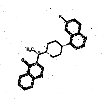 C[C@H]([C@H]1CC[C@@H](c2ccnc3ccc(F)cc32)CC1)n1cnc2ccccc2c1=O